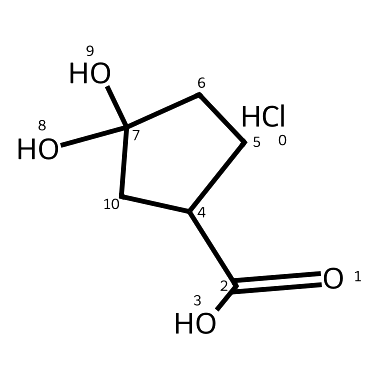 Cl.O=C(O)C1CCC(O)(O)C1